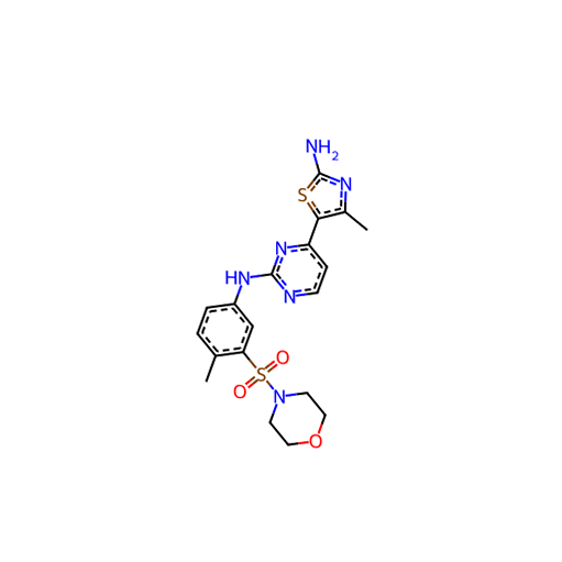 Cc1ccc(Nc2nccc(-c3sc(N)nc3C)n2)cc1S(=O)(=O)N1CCOCC1